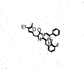 CCc1cc(Cc2nc3c(Cc4cccc(F)c4F)[nH]c(-c4ccccc4)cn-3c2=O)oc1C